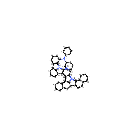 c1ccc(N(c2ccccc2)c2cccc3c4cccc5c6c7c8c9ccccc9cc9c%10ccc%11ccccc%11c%10n(c7cnc6n(c23)c45)c98)cc1